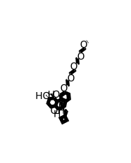 COCCOCCOCCOCCOc1ccc2c3c1O[C@H]1[C@@H](O)CC[C@@]4(O)[C@@H](C2)N(CC2CCC2)CC[C@]314